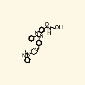 Cc1nc2ccccc2n1C1CCN(Cc2ccc(-c3nc4cc(C(=O)NCCO)ccc4nc3-c3ccccc3)cc2)CC1